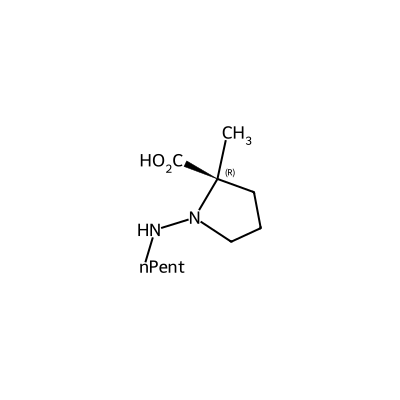 CCCCCNN1CCC[C@]1(C)C(=O)O